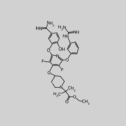 CCOC(=O)C(C)(C)N1CCC(Oc2c(F)c(Oc3cccc(NC(=N)N)c3)nc(Oc3cc(C(=N)N)ccc3O)c2F)CC1